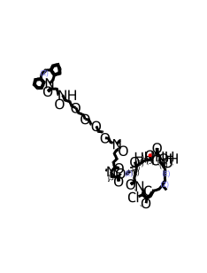 COc1cc2cc(c1Cl)N(C)C(=O)C[C@H](/C=C/OC(=O)[C@H](C)N(C)C(=O)CCCC(=O)N(C)CCOCCOCCOCCOCCC(=O)NCCC(=O)N1Cc3ccccc3/C=C\c3ccccc31)[C@]1(C)O[C@H]1[C@H](C)[C@@H]1C[C@@](O)(NC(=O)O1)[C@H](OC)/C=C/C=C(/C)C2